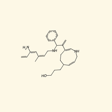 C=C/C(N)=C\C(C)=C/CNC(C(=C)/C1=C/NC/C=C\C(CCCO)CC1)c1ccccc1